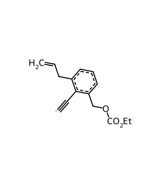 [C]#Cc1c(CC=C)cccc1COC(=O)OCC